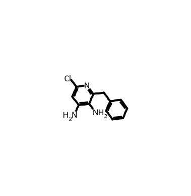 Nc1cc(Cl)nc(Cc2ccccc2)c1N